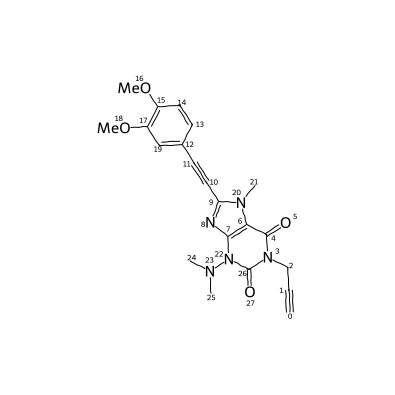 C#CCn1c(=O)c2c(nc(C#Cc3ccc(OC)c(OC)c3)n2C)n(N(C)C)c1=O